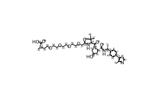 Cc1ncsc1-c1ccc([C@H](C)NC(=O)[C@@H]2C[C@@H](O)CN2C(=O)[C@@H](NC(=O)COCCOCCOCCOCCN(C)C(=O)O)C(C)(C)C)cc1